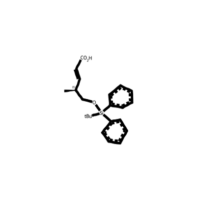 C[C@@H](C=CC(=O)O)CO[Si](c1ccccc1)(c1ccccc1)C(C)(C)C